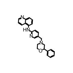 c1ccc(C2CN(Cc3ccc(Nc4cccc5ncccc45)nc3)CCO2)cc1